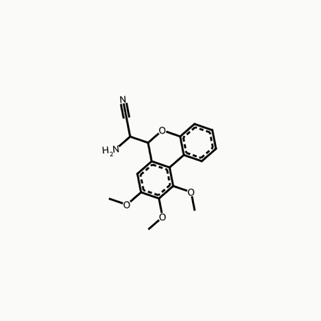 COc1cc2c(c(OC)c1OC)-c1ccccc1OC2C(N)C#N